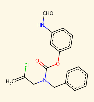 C=C(Cl)CN(Cc1ccccc1)C(=O)Oc1cccc(NC=O)c1